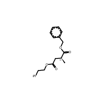 CC(C)CCOC(=O)C[C@H](C)C(=O)OCc1ccccc1